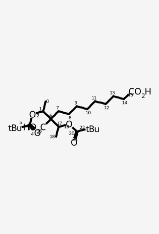 CC(OC(=O)C(C)(C)C)C(CCCCCCCCC(=O)O)(C(=O)O)C(C)OC(=O)C(C)(C)C